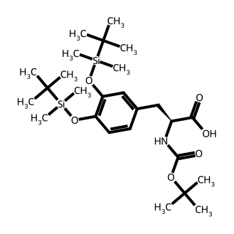 CC(C)(C)OC(=O)N[C@@H](Cc1ccc(O[Si](C)(C)C(C)(C)C)c(O[Si](C)(C)C(C)(C)C)c1)C(=O)O